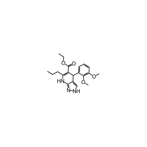 CCCC1=C(C(=O)OCC)C(c2cccc(OC)c2OC)c2c[nH]nc2N1